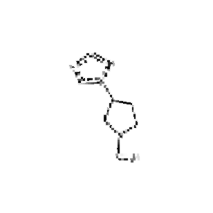 O=C(O)N1CCC(n2cncn2)C1